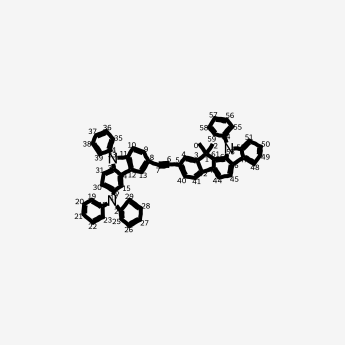 CC1(C)c2cc(C#Cc3ccc4c(c3)c3cc(N(c5ccccc5)c5ccccc5)ccc3n4-c3ccccc3)ccc2-c2ccc3c4ccccc4n(-c4ccccc4)c3c21